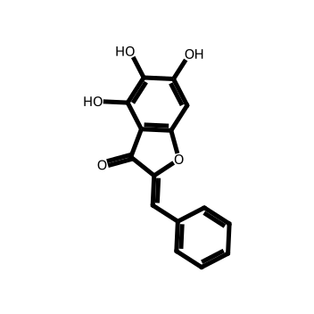 O=C1/C(=C/c2ccccc2)Oc2cc(O)c(O)c(O)c21